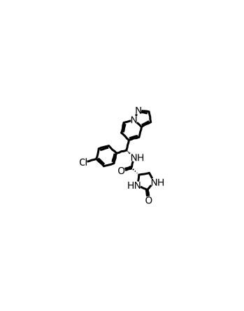 O=C1NC[C@@H](C(=O)N[C@H](c2ccc(Cl)cc2)c2ccn3nccc3c2)N1